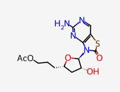 CC(=O)OCCC[C@H]1C[C@@H](O)[C@H](n2c(=O)sc3cnc(N)nc32)O1